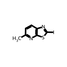 Cc1ccc2nc(I)sc2n1